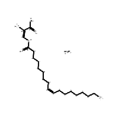 CCCCCCCC/C=C\CCCCCCCC(=O)OC=C(C)C(=O)O.[MgH2]